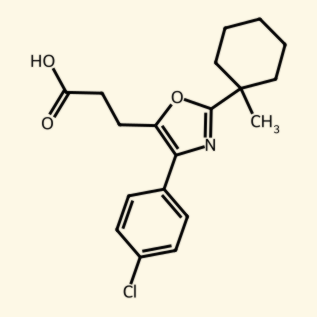 CC1(c2nc(-c3ccc(Cl)cc3)c(CCC(=O)O)o2)CCCCC1